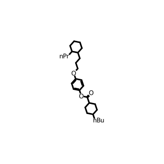 CCCCC1CCC(C(=O)Oc2ccc(OCCCC3CCCCC3CCC)cc2)CC1